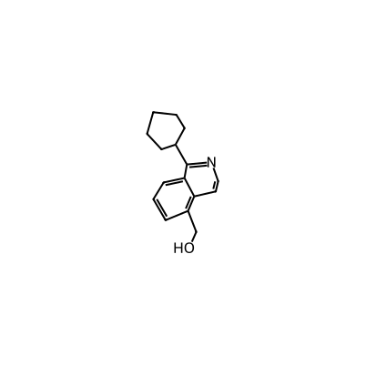 OCc1cccc2c(C3CCCCC3)nccc12